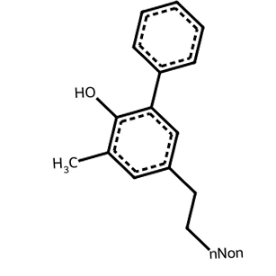 CCCCCCCCCCCc1cc(C)c(O)c(-c2ccccc2)c1